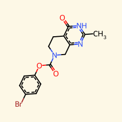 Cc1nc2c(c(=O)[nH]1)CCN(C(=O)Oc1ccc(Br)cc1)C2